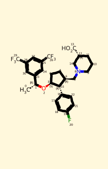 C[C@@H](O[C@H]1CC[C@@H](CN2CCC[C@@H](C(=O)O)C2)[C@@H]1c1ccc(F)cc1)c1cc(C(F)(F)F)cc(C(F)(F)F)c1